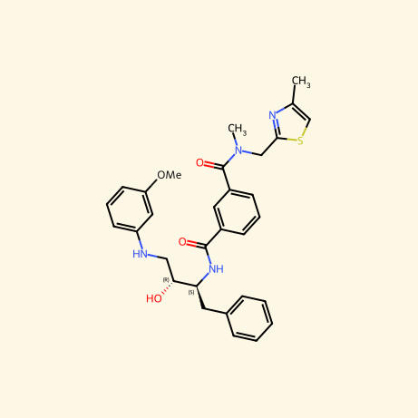 COc1cccc(NC[C@@H](O)[C@H](Cc2ccccc2)NC(=O)c2cccc(C(=O)N(C)Cc3nc(C)cs3)c2)c1